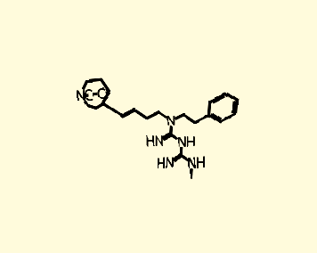 CNC(=N)NC(=N)N(CCCCC1CCN2CCC1CC2)CCc1ccccc1